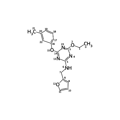 CCOc1nc(NCc2ccco2)nc(Oc2cccc(C)c2)n1